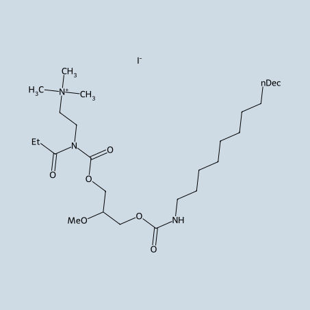 CCCCCCCCCCCCCCCCCCNC(=O)OCC(COC(=O)N(CC[N+](C)(C)C)C(=O)CC)OC.[I-]